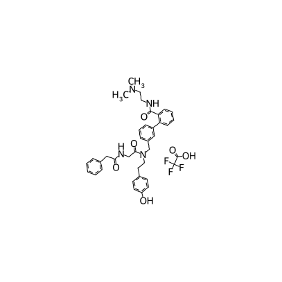 CN(C)CCNC(=O)c1ccccc1-c1cccc(CN(CCc2ccc(O)cc2)C(=O)CNC(=O)Cc2ccccc2)c1.O=C(O)C(F)(F)F